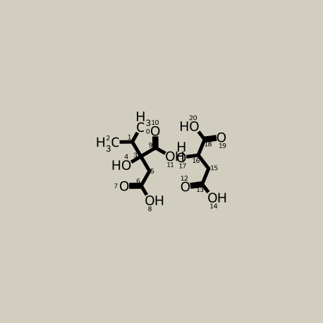 CC(C)C(O)(CC(=O)O)C(=O)O.O=C(O)CC(O)C(=O)O